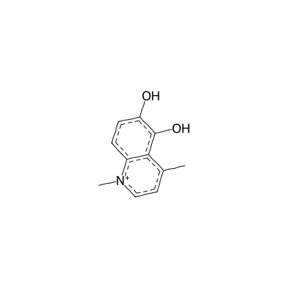 Cc1cc[n+](C)c2ccc(O)c(O)c12